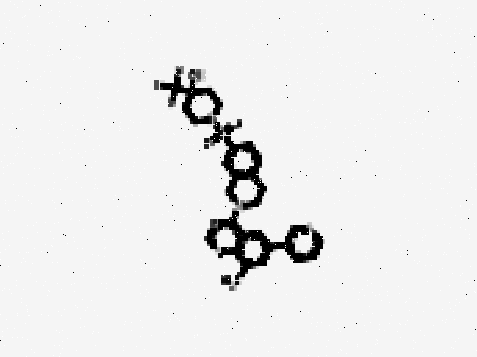 Cc1cc(-c2cccnc2)cc2c(N3CCc4ccc(S(=O)(=O)N5CCC(O)(C(F)(F)F)CC5)cc4C3)ncnc12